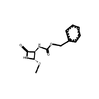 CO[C@@H]1NC(=O)[C@H]1NC(=O)OCc1ccccc1